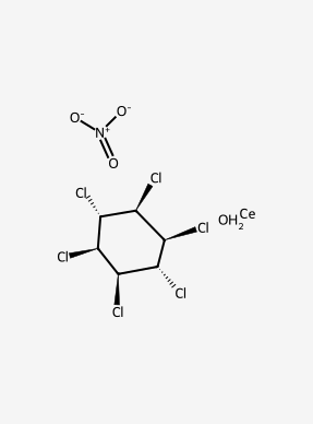 Cl[C@H]1[C@H](Cl)[C@@H](Cl)[C@@H](Cl)[C@H](Cl)[C@H]1Cl.O.O=[N+]([O-])[O-].[Ce]